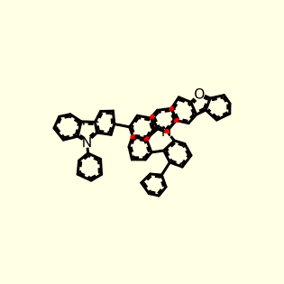 c1ccc(-c2ccccc2-c2c(-c3ccccc3)cccc2N(c2ccc(-c3ccc4c5ccccc5n(-c5ccccc5)c4c3)cc2)c2ccc3oc4ccccc4c3c2)cc1